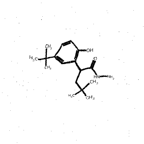 CC(C)(C)CC(C(=O)NN)c1cc(C(C)(C)C)ccc1O